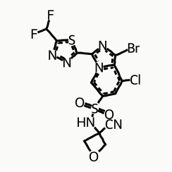 N#CC1(NS(=O)(=O)c2cc(Cl)c3c(Br)nc(-c4nnc(C(F)F)s4)n3c2)COC1